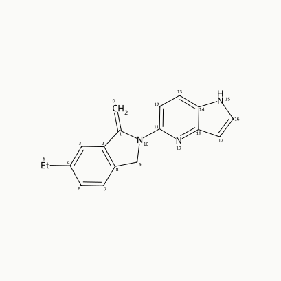 C=C1c2cc(CC)ccc2CN1c1ccc2[nH]ccc2n1